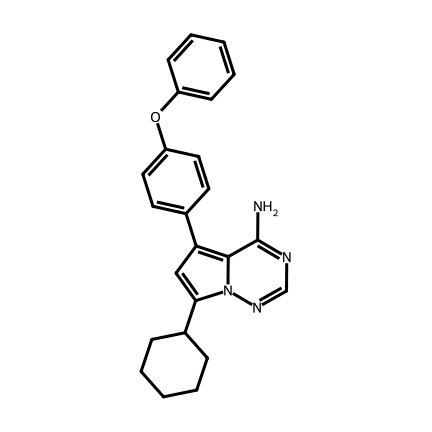 Nc1ncnn2c(C3CCCCC3)cc(-c3ccc(Oc4ccccc4)cc3)c12